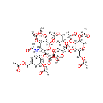 CC(=O)OCC1=C[C@H](N(C(C)=O)[C@@H]2C(C)O[C@H](O[C@@H]3C(COC(C)=O)O[C@H](O[C@@H]4C(COC(C)=O)OCC(OC(C)=O)C4OC(C)=O)C(OC(C)=O)C3OC(C)=O)C(OC(C)=O)C2OC(C)=O)[C@H](OC(C)=O)[C@@H](OC(C)=O)C1